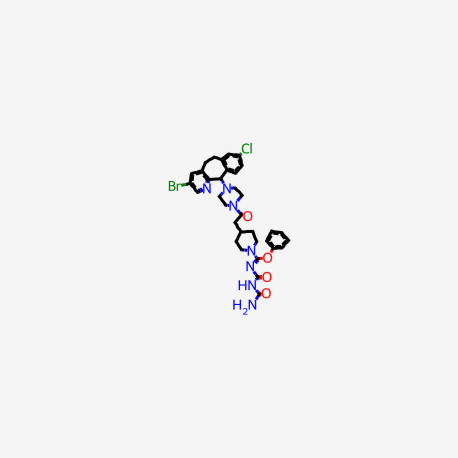 NC(=O)NC(=O)/N=C(\Oc1ccccc1)N1CCC(CC(=O)N2CCN(C3c4ccc(Cl)cc4CCc4cc(Br)cnc43)CC2)CC1